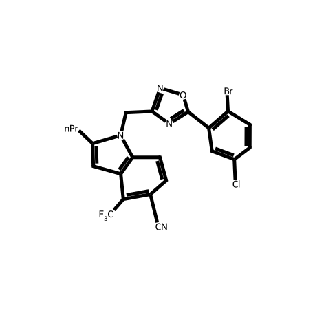 CCCc1cc2c(C(F)(F)F)c(C#N)ccc2n1Cc1noc(-c2cc(Cl)ccc2Br)n1